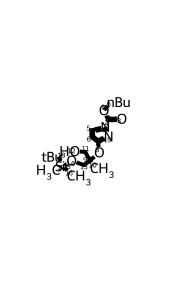 CCCCOC(=O)n1ccc(OC(C)(CO)CO[Si](C)(C)C(C)(C)C)n1